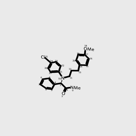 CNC(=O)[C@H](c1ccccc1)N(CCCc1ccc(OC)cc1)c1ccc(Cl)cc1